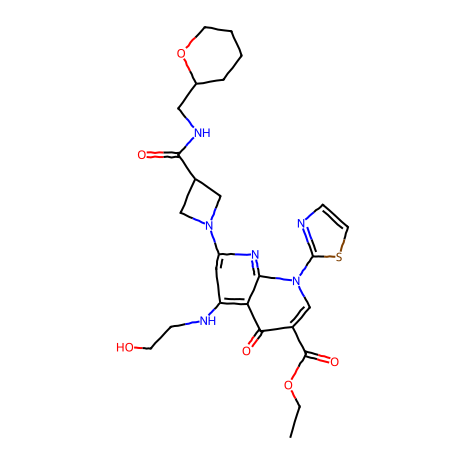 CCOC(=O)c1cn(-c2nccs2)c2nc(N3CC(C(=O)NCC4CCCCO4)C3)cc(NCCO)c2c1=O